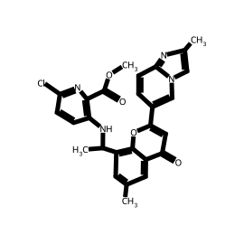 COC(=O)c1nc(Cl)ccc1NC(C)c1cc(C)cc2c(=O)cc(-c3ccc4nc(C)cn4c3)oc12